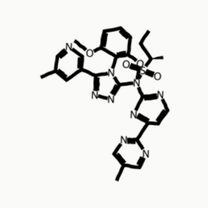 CC[C@@H](C)S(=O)(=O)N(c1nccc(-c2ncc(C)cn2)n1)c1nnc(-c2cncc(C)c2)n1-c1c(OC)cccc1OC